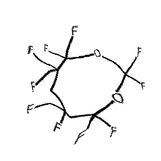 FC1(F)OC(F)(F)C(F)(F)C(F)(F)C(F)(F)O1